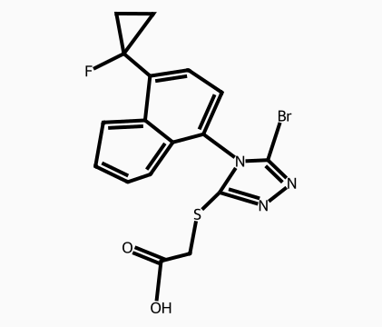 O=C(O)CSc1nnc(Br)n1-c1ccc(C2(F)CC2)c2ccccc12